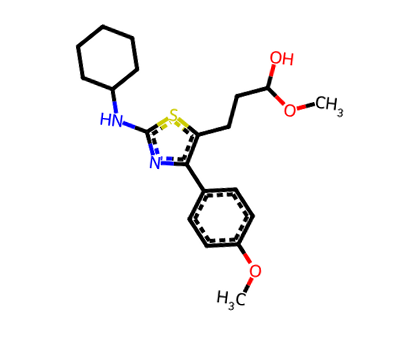 COc1ccc(-c2nc(NC3CCCCC3)sc2CCC(O)OC)cc1